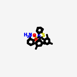 Cc1cc[c]([Sn]2([c]3ccc(C)cc3C)[S]c3ccccc3[N]2S(=O)(=O)c2ccccc2N)c(C)c1